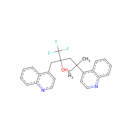 CC(C)(CC(O)(Cc1ccnc2ccccc12)C(F)(F)F)c1ccnc2ccccc12